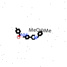 COc1ccc(CN2CCC(c3ccc(CNC(=O)c4ccc(C)cc4)cc3)CC2)cc1OC